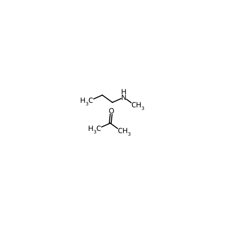 CC(C)=O.CCCNC